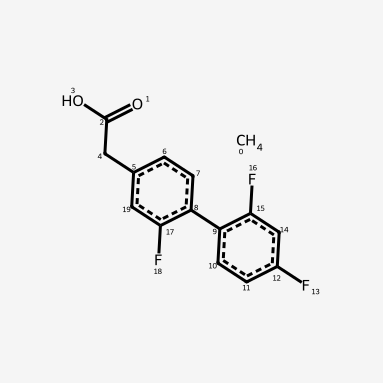 C.O=C(O)Cc1ccc(-c2ccc(F)cc2F)c(F)c1